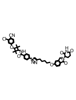 CC1(C)C(NC(=O)c2ccc(-n3cc(CCCCCOc4ccc5c(c4)CN(C4CCC(=O)NC4=O)C5=O)nn3)cc2)C(C)(C)C1Oc1ccc(C#N)c(Cl)c1